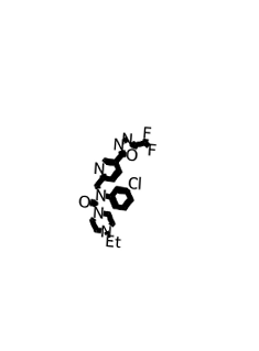 CCN1CCN(C(=O)N(Cc2ccc(-c3nnc(C(F)F)o3)cn2)c2cccc(Cl)c2)CC1